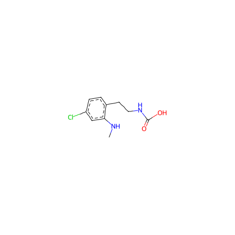 CNc1cc(Cl)ccc1CCNC(=O)O